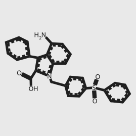 Nc1cccc2c1c(-c1ccccc1)c(C(=O)O)n2Cc1ccc(S(=O)(=O)c2ccccc2)cc1